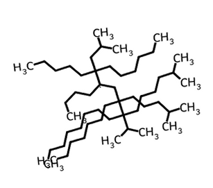 CCCCCCCCC(CCCCC(C)C)(C(C)C)C(CCCCCCC)(CCCC(C)C)C[C](CCCC)C(CCCCC)(CCCCCC)CC(C)C